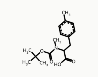 Cc1ccc(CC(C(=O)O)N(C)C(=O)OC(C)(C)C)cc1